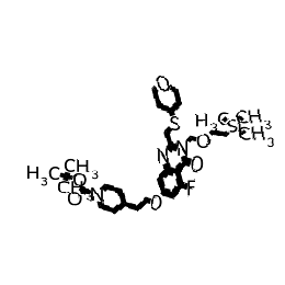 CC(C)(C)OC(=O)N1CCC(CCOc2cc(F)c3c(=O)n(COCC[Si](C)(C)C)c(CSC4CCOCC4)nc3c2)CC1